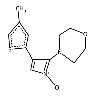 Cc1csc(C2=C[N+]([O-])=C2N2CCOCC2)c1